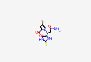 NC(=O)CC(c1c[nH]c(=S)[nH]1)n1cc(Br)cc1C(=O)O